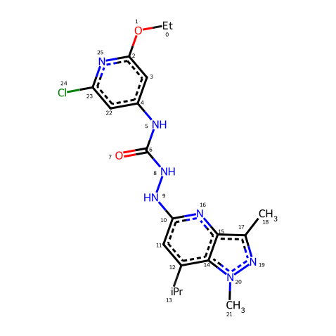 CCOc1cc(NC(=O)NNc2cc(C(C)C)c3c(n2)c(C)nn3C)cc(Cl)n1